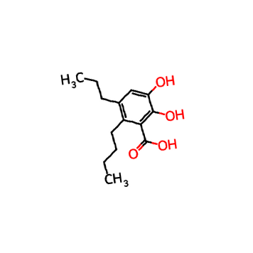 CCCCc1c(CCC)cc(O)c(O)c1C(=O)O